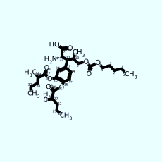 CCCCCOC(=O)OCC(C)C(c1ccc(OC(=O)C(C)CCC)c(OC(=O)C(C)CCC)c1)[C@H](N)C(=O)O